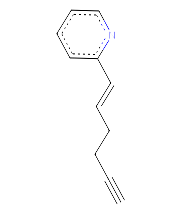 C#CCC/C=C/c1ccccn1